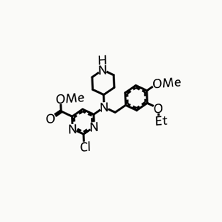 CCOc1cc(CN(c2cc(C(=O)OC)nc(Cl)n2)C2CCNCC2)ccc1OC